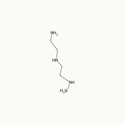 NCCNCCN[SiH3]